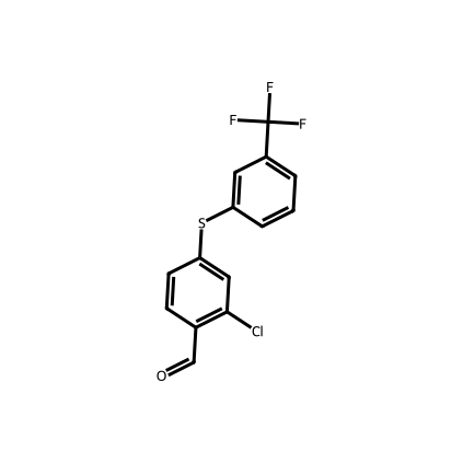 O=Cc1ccc(Sc2cccc(C(F)(F)F)c2)cc1Cl